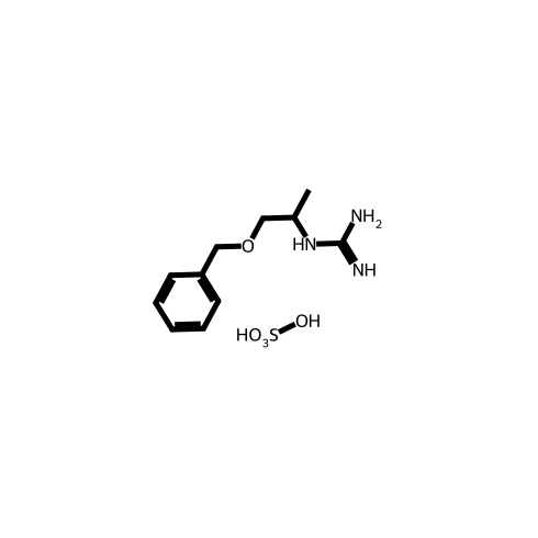 CC(COCc1ccccc1)NC(=N)N.O=S(=O)(O)O